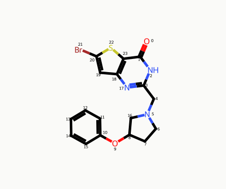 O=c1[nH]c(CN2CCC(Oc3ccccc3)C2)nc2cc(Br)sc12